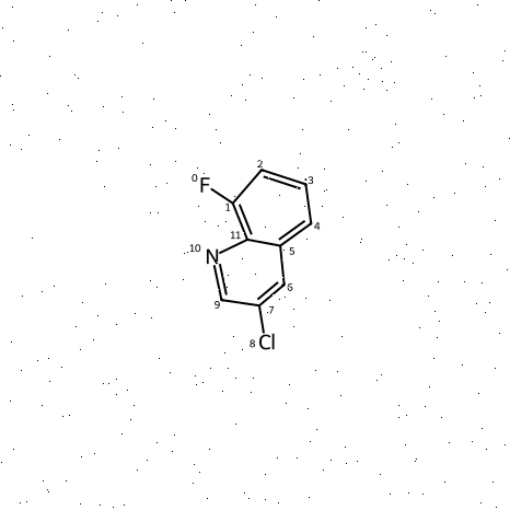 Fc1c[c]cc2cc(Cl)cnc12